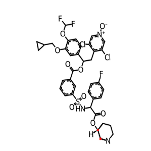 O=C(OC(Cc1c(Cl)c[n+]([O-])cc1Cl)c1ccc(OC(F)F)c(OCC2CC2)c1)c1cccc(S(=O)(=O)NC(C(=O)O[C@H]2CN3CCC2CC3)c2ccc(F)cc2)c1